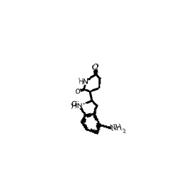 Nc1cccc2c1CC(C1CCC(=O)NC1=O)[NH+]2[O-]